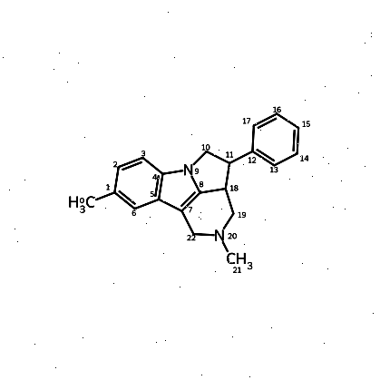 Cc1ccc2c(c1)c1c3n2CC(c2ccccc2)C3CN(C)C1